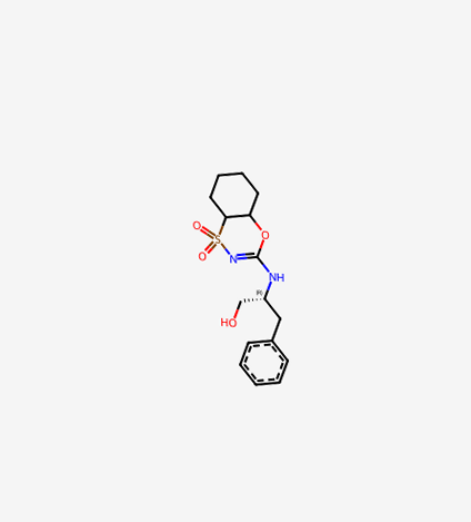 O=S1(=O)N=C(N[C@@H](CO)Cc2ccccc2)OC2CCCCC21